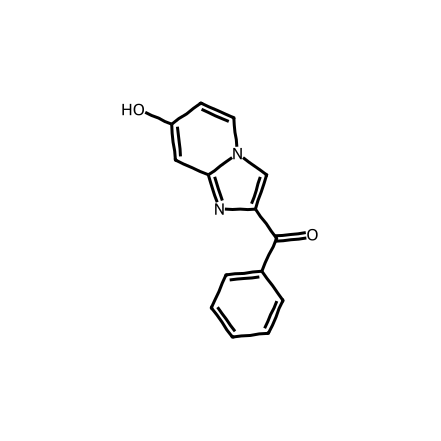 O=C(c1ccccc1)c1cn2ccc(O)cc2n1